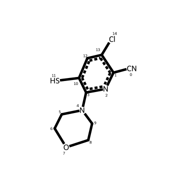 N#Cc1nc(N2CCOCC2)c(S)cc1Cl